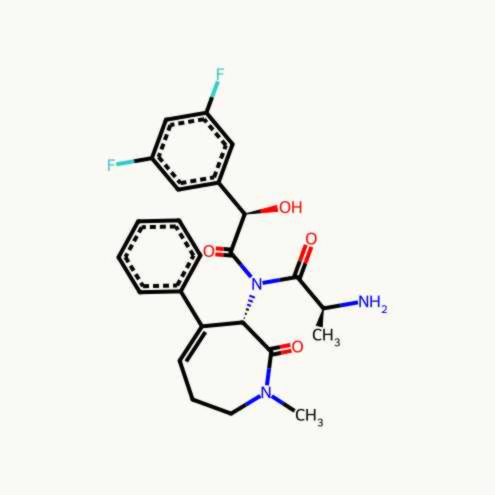 C[C@H](N)C(=O)N(C(=O)[C@H](O)c1cc(F)cc(F)c1)[C@@H]1C(=O)N(C)CCC=C1c1ccccc1